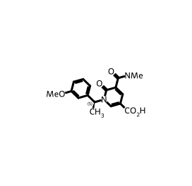 CNC(=O)c1cc(C(=O)O)cn([C@@H](C)c2cccc(OC)c2)c1=O